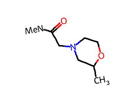 CNC(=O)CN1CCOC(C)C1